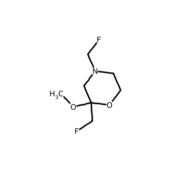 COC1(CF)CN(CF)CCO1